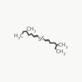 CCC(C)CCC=CSSC=CCCC(C)CC